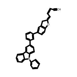 C#C/C=C\C=C1/Cc2cc(-c3cccc(-c4ccc5c(c4)c4ccccc4n5-c4ccccc4)c3)ccc2O1